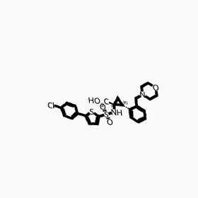 O=C(O)[C@@]1(NS(=O)(=O)c2ccc(-c3ccc(Cl)cc3)s2)C[C@@H]1c1ccccc1CN1CCOCC1